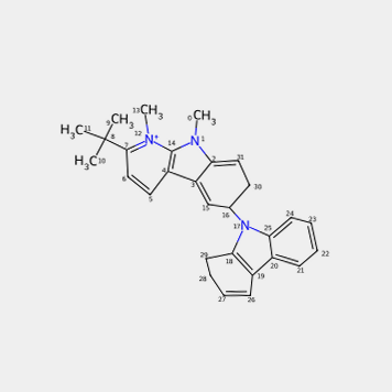 Cn1c2c(c3ccc(C(C)(C)C)[n+](C)c31)=CC(n1c3c(c4ccccc41)C=CCC3)CC=2